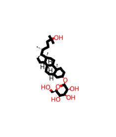 C[C@H](CCC(C)(C)O)[C@H]1CC[C@H]2[C@@H]3CC[C@@H]4C[C@H](O[C@@H]5O[C@H](CO)[C@@H](O)[C@H](O)[C@H]5O)CC[C@]4(C)[C@H]3CC[C@]12C